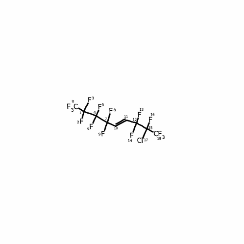 FC(F)(F)C(F)(F)C(F)(F)C(F)(F)C=CC(F)(F)C(F)(Cl)C(F)(F)F